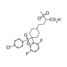 CS(=O)(=O)C(CCC1CCC(c2cc(F)ccc2F)(S(=O)(=O)c2ccc(Cl)cc2)CC1)C(=O)O